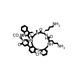 Cc1[nH]c2ccccc2c1C[C@H]1C(=O)NCc2c(-c3ccn(CC(=O)O)c(=O)c3)ccc(Cl)c2Sc2ncccc2CNC(CCCN)C(=O)N[C@@H](CCCCN)C(=O)N1C